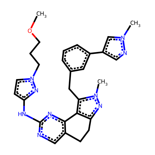 COCCCn1ccc(Nc2ncc3c(n2)-c2c(nn(C)c2Cc2cccc(-c4cnn(C)c4)c2)CC3)n1